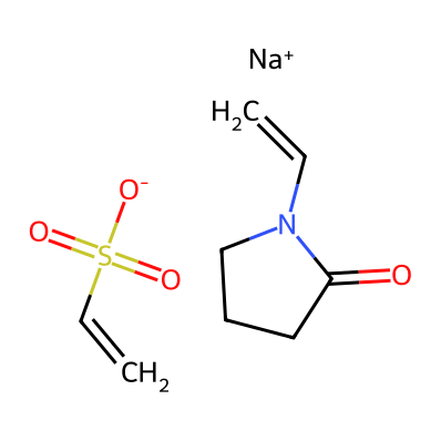 C=CN1CCCC1=O.C=CS(=O)(=O)[O-].[Na+]